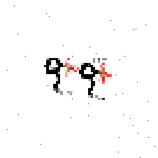 CCCCCCCCCCCCc1ccccc1S(=O)(=O)[O-].CCCCCCCCCCCCc1ccccc1S(=O)(=O)[O-].[Fe+2]